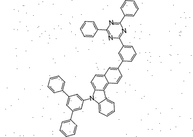 c1ccc(-c2cc(-c3ccccc3)cc(-n3c4ccccc4c4c5ccc(-c6cccc(-c7nc(-c8ccccc8)nc(-c8ccccc8)n7)c6)cc5ccc43)c2)cc1